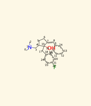 CN(C)CC1CC/C(=C/c2ccccc2)C1(O)Cc1ccc(F)cc1